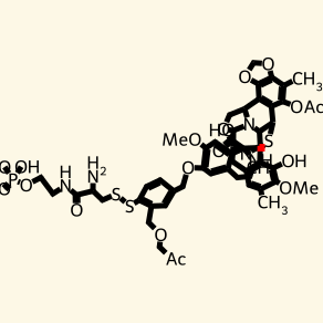 COc1cc2c(cc1OCc1ccc(SSCC(N)C(=O)NCCOP(=O)(O)O)c(COCC(C)=O)c1)CCNC21CSC2c3c(OC(C)=O)c(C)c4c(c3C(COC1=O)N1C(O)C3Cc5cc(C)c(OC)c(O)c5C(C21)N3C)OCO4